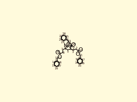 O=C(CCC(CC(CCC(=O)OCc1ccccc1)[N+](=O)[O-])C(=O)OCc1ccccc1)OCc1ccccc1